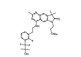 COCCN1C(=O)C(C)(C)c2cc3nc(C)nc(NCCc4cccc(C(F)(F)C(C)(C)O)c4F)c3cc21